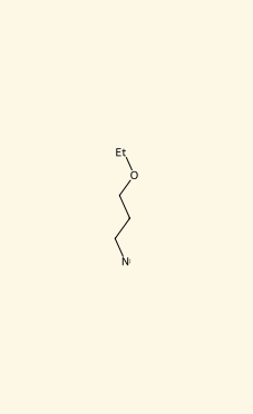 CCOCCC[N]